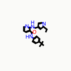 CCc1cc(CNc2ncccc2C(=O)Nc2ccc(C(C)(C)C)cc2)ccn1